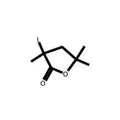 CC1(C)CC(C)(I)C(=O)O1